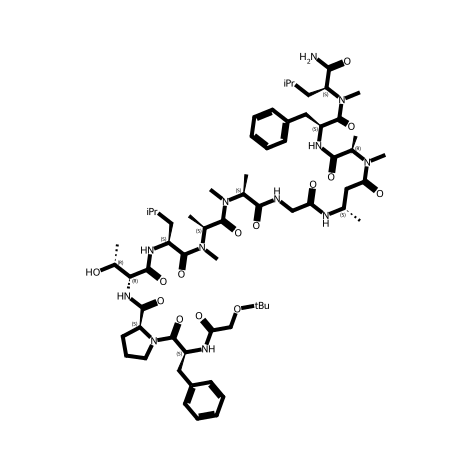 CC(C)C[C@H](NC(=O)[C@H](NC(=O)[C@@H]1CCCN1C(=O)[C@H](Cc1ccccc1)NC(=O)COC(C)(C)C)[C@@H](C)O)C(=O)N(C)[C@@H](C)C(=O)N(C)[C@@H](C)C(=O)NCC(=O)N[C@@H](C)CC(=O)N(C)[C@H](C)C(=O)N[C@@H](Cc1ccccc1)C(=O)N(C)[C@@H](CC(C)C)C(N)=O